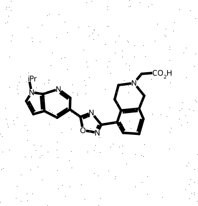 CC(C)n1ccc2cc(-c3nc(-c4cccc5c4CCN(CC(=O)O)C5)no3)cnc21